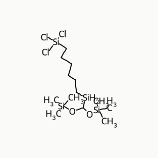 C[Si](C)(C)OC(O[Si](C)(C)C)[SiH2]CCCCCC[Si](Cl)(Cl)Cl